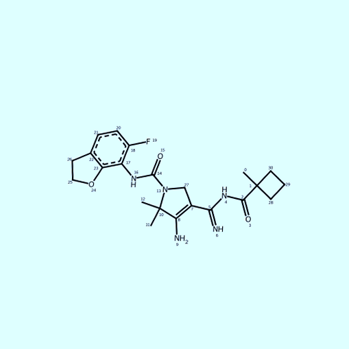 CC1(C(=O)NC(=N)C2=C(N)C(C)(C)N(C(=O)Nc3c(F)ccc4c3OCC4)C2)CCC1